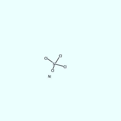 Cl[Si](Cl)(Cl)Cl.[N]